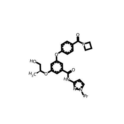 CC(C)n1ccc(NC(=O)c2cc(Oc3ccc(C(=O)N4CCC4)cc3)cc(O[C@@H](C)CO)c2)n1